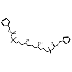 CC(C)(CCCC(O)CCCC(O)CCCC(C)(C)CC(=O)OCc1ccccc1)CC(=O)OCc1ccccc1